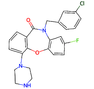 O=C1c2cccc(N3CCNCC3)c2Oc2ccc(F)cc2N1Cc1cccc(Cl)c1